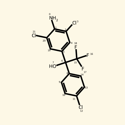 Nc1c(Cl)cc(C(O)(c2ccc(Cl)cc2)C(F)(F)F)cc1Cl